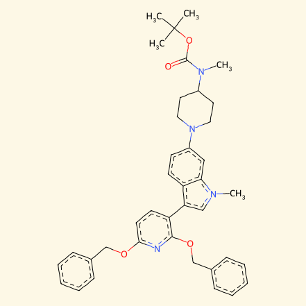 CN(C(=O)OC(C)(C)C)C1CCN(c2ccc3c(-c4ccc(OCc5ccccc5)nc4OCc4ccccc4)cn(C)c3c2)CC1